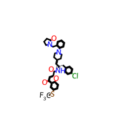 O=C(N[C@H](C=C1CCN(c2ccccc2CN2CCCC2=O)CC1)Cc1ccc(Cl)cc1)c1cc(=O)c2cc(SC(F)(F)F)ccc2o1